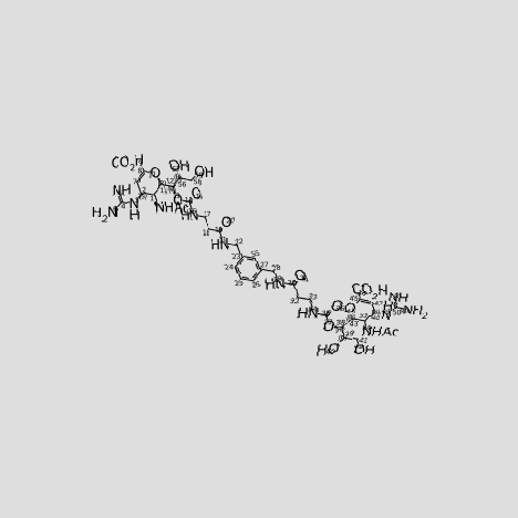 CC(=O)NC1[C@@H](NC(=N)N)C=C(C(=O)O)O[C@H]1[C@H](OC(=O)NCCC(=O)NCc1cccc(CNC(=O)CCNC(=O)O[C@H]([C@H](O)CO)[C@@H]2OC(C(=O)O)=C[C@H](NC(=N)N)C2NC(C)=O)c1)[C@H](O)CO